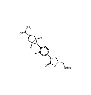 CC(=O)NC[C@H]1CN(c2ccc([C@H]3[C@@H]4CN(C(N)=O)C[C@@H]43)c(F)c2)C(=O)O1